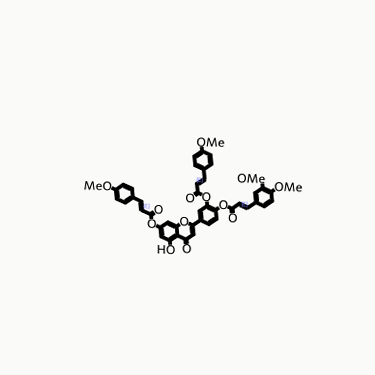 COc1ccc(/C=C/C(=O)Oc2cc(O)c3c(=O)cc(-c4ccc(OC(=O)/C=C/c5ccc(OC)c(OC)c5)c(OC(=O)/C=C/c5ccc(OC)cc5)c4)oc3c2)cc1